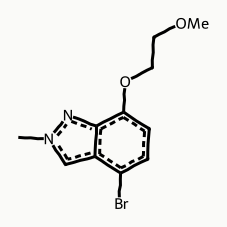 COCCOc1ccc(Br)c2cn(C)nc12